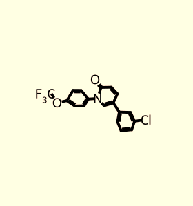 O=c1ccc(-c2cccc(Cl)c2)cn1-c1ccc(OC(F)(F)F)cc1